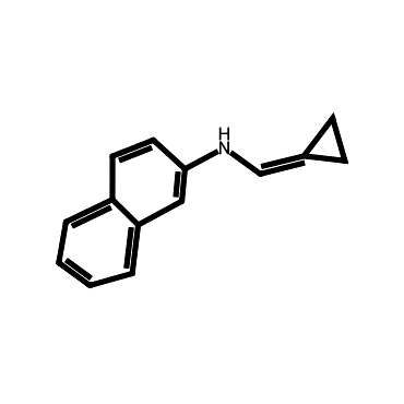 C(Nc1ccc2ccccc2c1)=C1CC1